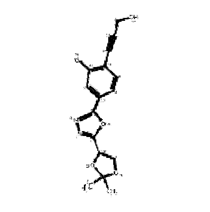 CC1(C)OC[C@H](c2nnc(-c3ccc(C#CCO)c(Cl)c3)o2)O1